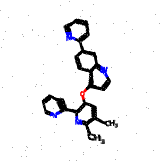 Cc1cc(Oc2ccnc3cc(-c4ccccn4)ccc23)c(-c2ccccn2)nc1C